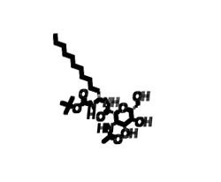 CCCCCCCCCCC[C@@H](NC(=O)OC(C)(C)C)NC(=O)[C@@H]1O[C@H](CO)[C@@H](O)[C@H](O)[C@@H]1NC(C)=O